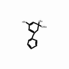 CCCCC1=CC(CCCC)(OC)CC(c2ccccc2)=C1